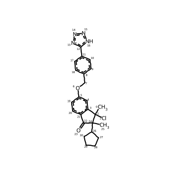 CC1(Cl)c2cc(OCc3ccc(-c4nnn[nH]4)cc3)ccc2C(=O)C1(C)C1CCCC1